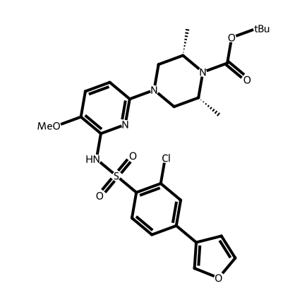 COc1ccc(N2C[C@@H](C)N(C(=O)OC(C)(C)C)[C@@H](C)C2)nc1NS(=O)(=O)c1ccc(-c2ccoc2)cc1Cl